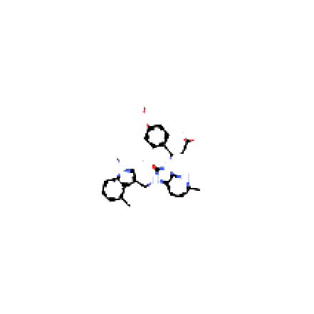 COc1ccc([C@@H](CC(=O)O)n2c(=O)n(Cc3cn(C)c4cccc(C)c34)c3ccc(C)nc32)cc1